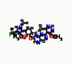 COc1cc(Cn2c(=O)cnc3cnc(-c4c(OC)ncnc4C4CC4)nc32)ccc1-c1nc(C(F)(F)F)cn1C1CC1